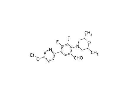 CCOc1cnc(-c2cc(C=O)c(N3CC(C)OC(C)C3)c(F)c2F)cn1